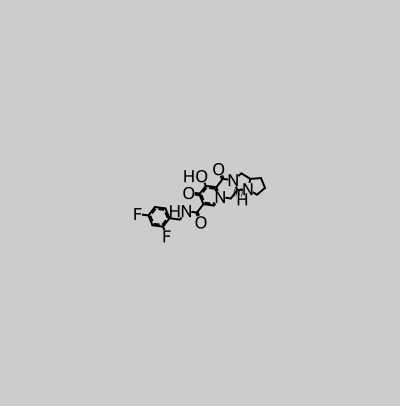 O=C(NCc1ccc(F)cc1F)c1cn2c(c(O)c1=O)C(=O)N1CC3CCCN3[C@H]1C2